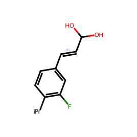 CC(C)c1ccc(/C=C/C(O)O)cc1F